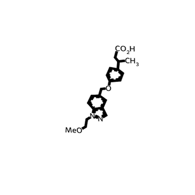 COCCn1ncc2cc(COc3ccc(C(C)CC(=O)O)cc3)ccc21